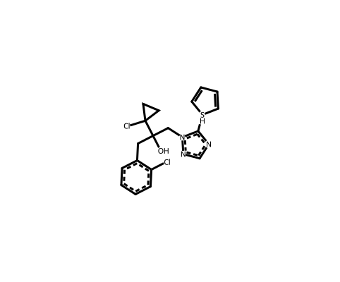 OC(Cc1ccccc1Cl)(Cn1ncnc1[SH]1C=CC=C1)C1(Cl)CC1